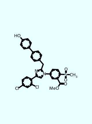 COC(=O)c1cc(-n2cc(-c3ccc(Cl)cc3Cl)nc2Cc2ccc(-c3ccc(O)cc3)cc2)ccc1S(C)(=O)=O